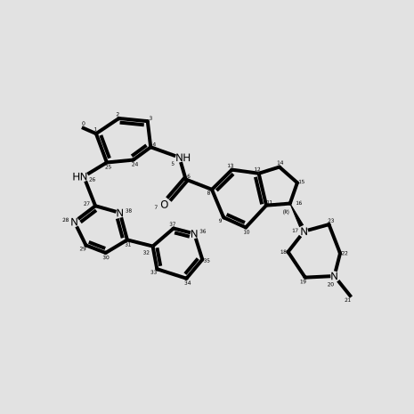 Cc1ccc(NC(=O)c2ccc3c(c2)CC[C@H]3N2CCN(C)CC2)cc1Nc1nccc(-c2cccnc2)n1